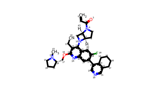 C=CC(=O)N1CC[C@@H]2[C@H]1CN2c1c(CC#N)c(OC[C@@H]2CCCN2C)nc2cc(-c3cncc4c3CCCC4)c(F)cc12